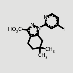 CC1(C)CCc2c(C(=O)O)nn(-c3cc(I)ccn3)c2C1